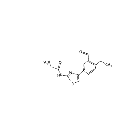 CCc1ccc(-c2csc(NC(=O)CN)n2)cc1C=O